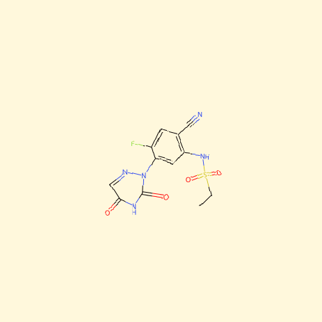 CCS(=O)(=O)Nc1cc(-n2ncc(=O)[nH]c2=O)c(F)cc1C#N